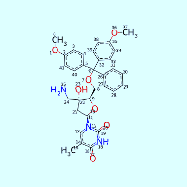 COc1ccc(C(OC[C@H]2O[C@@H](n3cc(C)c(=O)[nH]c3=O)C[C@@]2(O)CN)(c2ccccc2)c2ccc(OC)cc2)cc1